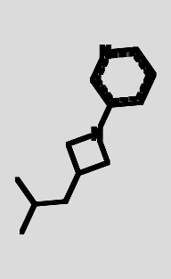 CC(C)CC1CN(c2cccnc2)C1